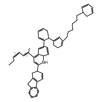 CC/C=C\C=C(/C)C1=C2C=C(C3=CC=CCC3C3=CC(CCCCCCC4C=CC=CC4)=CCC3)C=CC2NC(C2C=CC3=C(Cc4ccccc43)C2)=C1